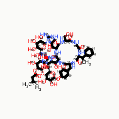 CC(C)CC(=O)O[C@@H]1[C@@H](O[C@H]2[C@H](O)[C@H](O)[C@@H](Oc3ccc(CC4NC(=O)C(C(C)c5ccccc5)NC(=O)CNC(=O)C(CO)NC(=O)C(C(O)C5CNC(=N)N5[C@H]5O[C@H](CO)[C@@H](O)[C@H](O)[C@@H]5O)NC(=O)C(C(O)C5CNC(=N)N5)NC4=O)cc3)O[C@@H]2CO)O[C@H](CO)[C@@H](O)[C@@H]1O